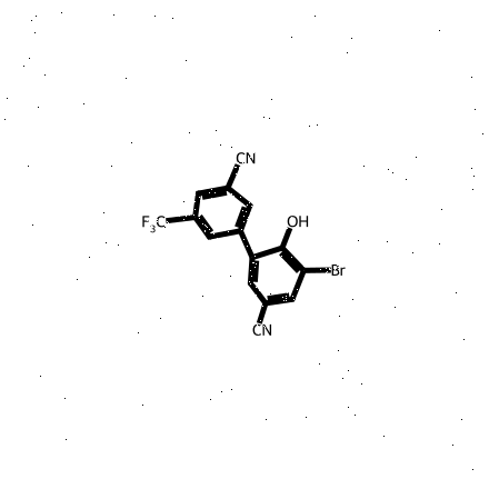 N#Cc1cc(-c2cc(C#N)cc(Br)c2O)cc(C(F)(F)F)c1